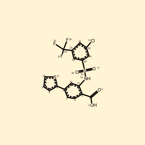 O=C(O)c1ccc(-c2cccs2)cc1NS(=O)(=O)c1cc(Cl)cc(C(F)(F)F)c1